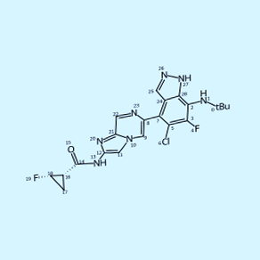 CC(C)(C)Nc1c(F)c(Cl)c(-c2cn3cc(NC(=O)[C@@H]4C[C@@H]4F)nc3cn2)c2cn[nH]c12